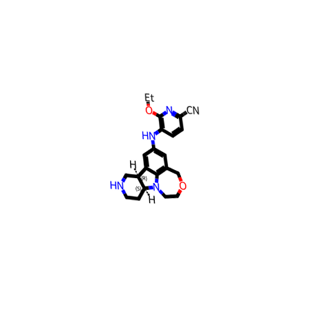 CCOc1nc(C#N)ccc1Nc1cc2c3c(c1)[C@@H]1CNCC[C@@H]1N3CCOC2